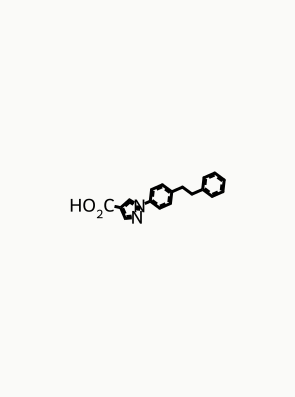 O=C(O)c1cnn(-c2ccc(CCc3ccccc3)cc2)c1